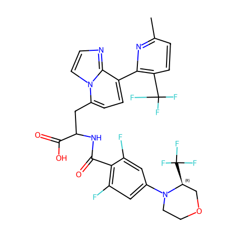 Cc1ccc(C(F)(F)F)c(-c2ccc(CC(NC(=O)c3c(F)cc(N4CCOC[C@@H]4C(F)(F)F)cc3F)C(=O)O)n3ccnc23)n1